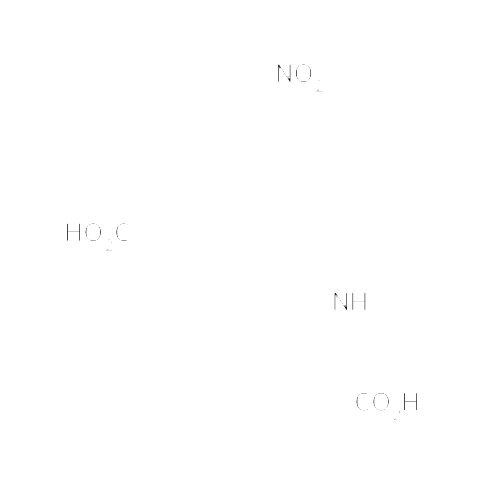 O=C(O)CNc1cc(C(=O)O)cc([N+](=O)[O-])c1